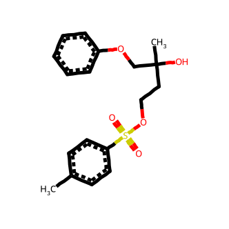 Cc1ccc(S(=O)(=O)OCCC(C)(O)COc2ccccc2)cc1